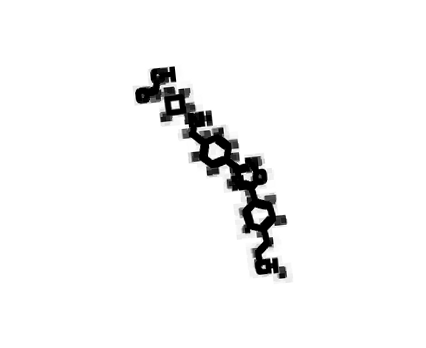 CCCc1ccc(-c2nc(-c3ccc(CN[C@H]4C[C@@H](C(=O)O)C4)cc3)no2)cc1